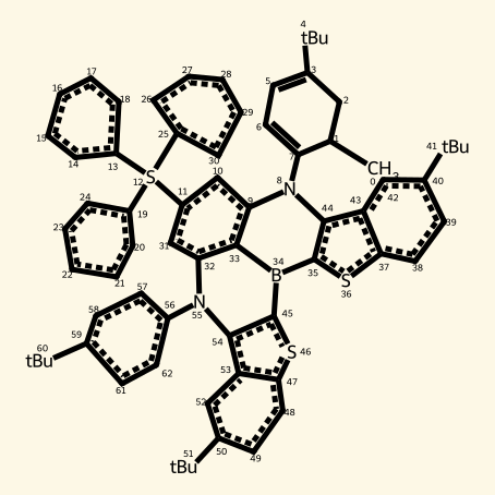 CC1CC(C(C)(C)C)=CC=C1N1c2cc(S(c3ccccc3)(c3ccccc3)c3ccccc3)cc3c2B(c2sc4ccc(C(C)(C)C)cc4c21)c1sc2ccc(C(C)(C)C)cc2c1N3c1ccc(C(C)(C)C)cc1